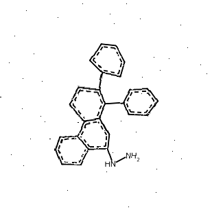 NNc1cc2c(-c3ccccc3)c(-c3ccccc3)ccc2c2ccccc12